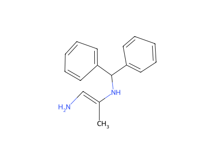 CC(=CN)NC(c1ccccc1)c1ccccc1